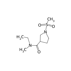 [CH2]CN(C)C(=O)C1CCN(S(C)(=O)=O)C1